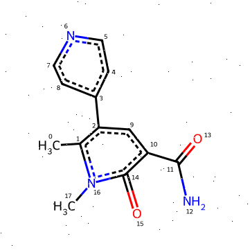 Cc1c(-c2ccncc2)cc(C(N)=O)c(=O)n1C